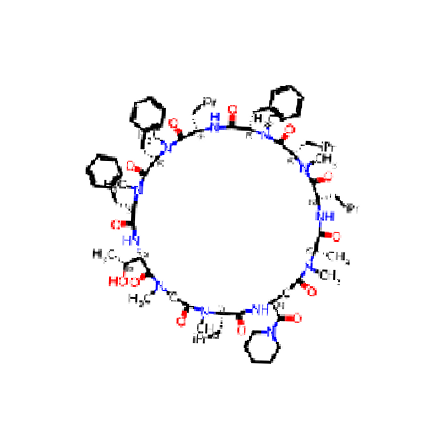 CC(C)C[C@@H]1NC(=O)[C@H](C)N(C)C(=O)C[C@@H](C(=O)N2CCCCC2)NC(=O)[C@H](CC(C)C)N(C)C(=O)CN(C)C(=O)[C@H]([C@@H](C)O)NC(=O)[C@H](Cc2ccccc2)N(C)C(=O)[C@H](Cc2ccccc2)N(C)C(=O)[C@H](CC(C)C)NC(=O)[C@H](Cc2ccccc2)N(C)C(=O)[C@H](CC(C)C)N(C)C1=O